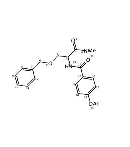 CNC(=O)C(COCc1ccccc1)NC(=O)c1ccc(OC(C)=O)cc1